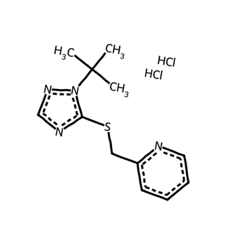 CC(C)(C)n1ncnc1SCc1ccccn1.Cl.Cl